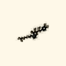 COC(=O)COCCOCCn1ncc2nc(NCc3ccc(Cl)c(Cl)c3)[nH]c(=O)c21